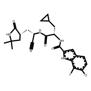 CC1(C)C[C@@H](C[C@@H](C#N)NC(=O)[C@H](CC2CC2)NC(=O)c2cc3ccc(Cl)c(F)c3[nH]2)C(=O)N1